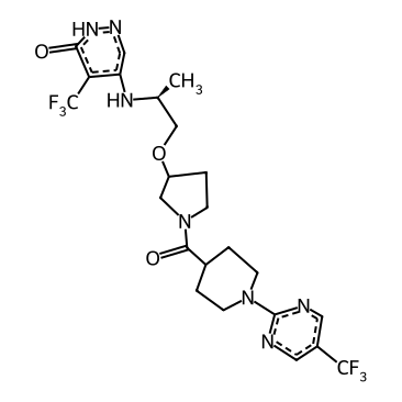 C[C@@H](COC1CCN(C(=O)C2CCN(c3ncc(C(F)(F)F)cn3)CC2)C1)Nc1cn[nH]c(=O)c1C(F)(F)F